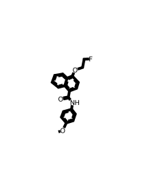 COc1ccc(NC(=O)c2ccc(OCCF)c3ccccc23)cc1